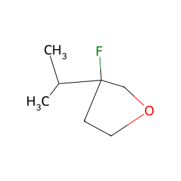 CC(C)C1(F)CCOC1